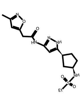 CCS(=O)(=O)N[C@@H]1CC[C@H](c2cc(NC(=O)Cc3cc(C)no3)n[nH]2)C1